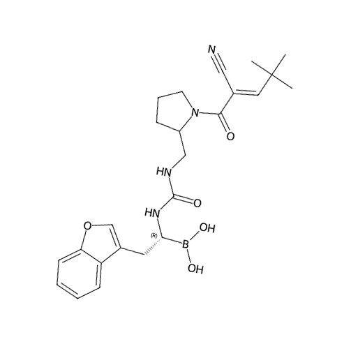 CC(C)(C)C=C(C#N)C(=O)N1CCCC1CNC(=O)N[C@@H](Cc1coc2ccccc12)B(O)O